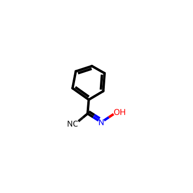 N#C/C(=N/O)c1ccccc1